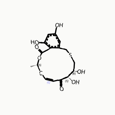 C[C@H]1C/C=C\C(=O)[C@@H](O)[C@@H](O)CSCc2cc(O)cc(O)c2C(=O)O1